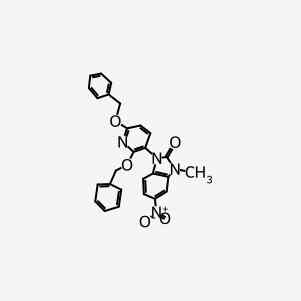 Cn1c(=O)n(-c2ccc(OCc3ccccc3)nc2OCc2ccccc2)c2ccc([N+](=O)[O-])cc21